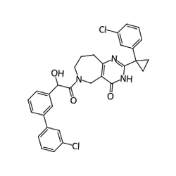 O=C(C(O)c1cccc(-c2cccc(Cl)c2)c1)N1CCCc2nc(C3(c4cccc(Cl)c4)CC3)[nH]c(=O)c2C1